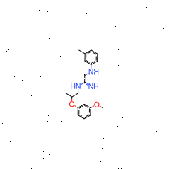 COc1cccc(OC(C)CNC(=N)CNc2cccc(C)c2)c1